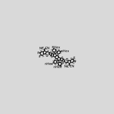 CCCCCCc1ccc(C2(c3ccc(CCCCCC)cc3)c3cc4c(cc3-c3sc5cc(/C=C6\C(=O)c7cc(F)c(F)cc7C6=C(C#N)C#N)sc5c32)C(c2ccc(CCCCCC)cc2)(c2ccc(CCCCCC)cc2)c2c-4sc3cc(/C=C4\C(=O)c5cc(F)c(F)cc5C4=C(C#N)C#N)sc23)cc1